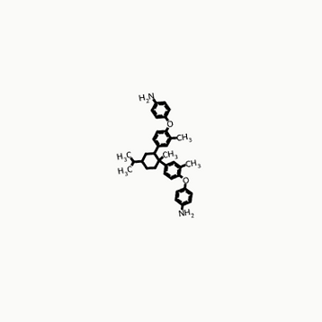 Cc1cc(C2CC(C(C)C)CCC2(C)c2ccc(Oc3ccc(N)cc3)c(C)c2)ccc1Oc1ccc(N)cc1